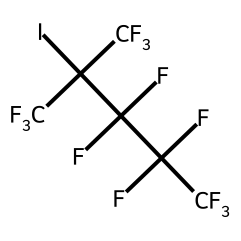 FC(F)(F)C(F)(F)C(F)(F)C(I)(C(F)(F)F)C(F)(F)F